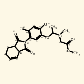 COC(=O)CP(C)C(C)Oc1cc(N2C(=O)C3C=CCCC3C2=O)c(Cl)cc1Cl